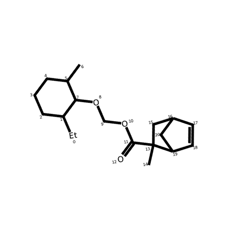 CCC1CCCC(C)C1OCOC(=O)C1(C)CC2C=CC1C2